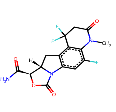 CN1C(=O)CC(F)(F)c2c3c(cc(F)c21)N1C(=O)O[C@@H](C(N)=O)[C@@H]1C3